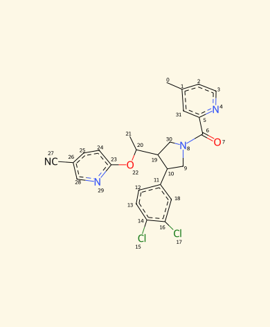 Cc1ccnc(C(=O)N2CC(c3ccc(Cl)c(Cl)c3)C(C(C)Oc3ccc(C#N)cn3)C2)c1